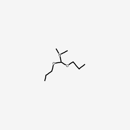 CCCOC(OCCC)N(C)C